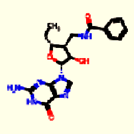 CC[C@H]1O[C@@H](n2cnc3c(=O)[nH]c(N)nc32)[C@H](O)[C@@H]1CNC(=O)c1ccccc1